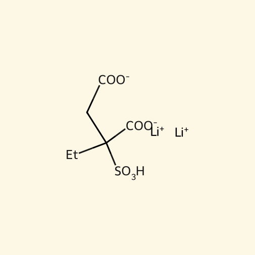 CCC(CC(=O)[O-])(C(=O)[O-])S(=O)(=O)O.[Li+].[Li+]